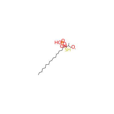 CCCCCCCCCCCCCCCCC(S)(OP(=O)(O)O)C(C)COC